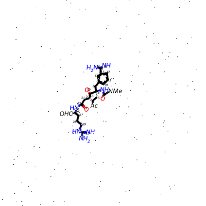 CNC(=O)N[C@](CCC(C)=O)(Cc1cccc(C(=N)N)c1)C(=O)CCC(=O)N[C@H](C=O)CCCNC(=N)N